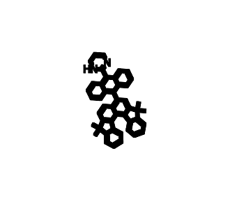 CC1(C)c2ccccc2-c2c1ccc1c(-c3c4ccccc4c(C4=NC=CCN4)c4ccccc34)cc3c(c21)-c1ccccc1C3(C)C